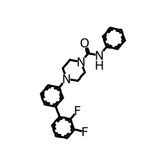 O=C(Nc1ccccc1)N1CCN(c2cccc(-c3cccc(F)c3F)c2)CC1